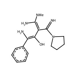 CN/C(N)=C(C(=N)N1CCCC1)/C(O)=C(\N)c1ccccc1